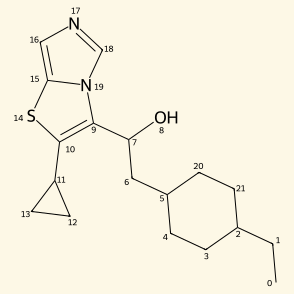 CCC1CCC(CC(O)c2c(C3CC3)sc3cncn23)CC1